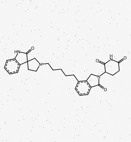 O=C1CCC(N2Cc3c(CCCCCN4CCC5(C4)C(=O)Nc4ccccc45)cccc3C2=O)C(=O)N1